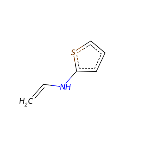 C=CNc1cccs1